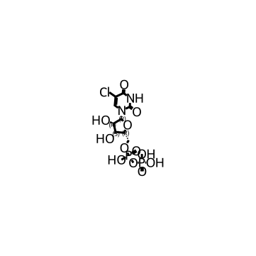 O=c1[nH]c(=O)n([C@@H]2O[C@H](COP(=O)(O)OP(=O)(O)O)[C@@H](O)[C@H]2O)cc1Cl